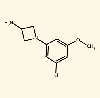 COc1cc(Cl)cc(N2CC(N)C2)c1